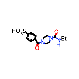 CCNC(=O)N1CCN(C(=O)c2ccc(S(=O)(=O)O)cc2)CC1